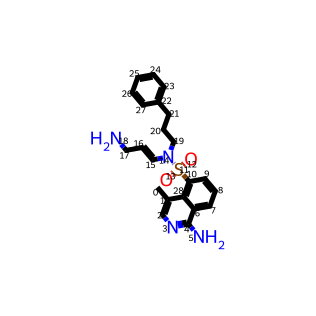 Cc1cnc(N)c2cccc(S(=O)(=O)N(C=CCN)CCCc3ccccc3)c12